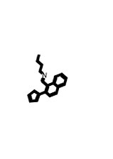 CCCCN=Cc1c(C2=CC=CC2)ccc2ccccc12